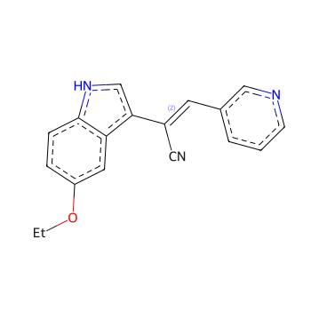 CCOc1ccc2[nH]cc(/C(C#N)=C/c3cccnc3)c2c1